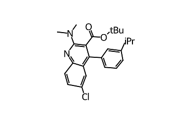 CC(C)c1cccc(-c2c(C(=O)OC(C)(C)C)c(N(C)C)nc3ccc(Cl)cc23)c1